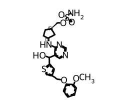 COc1ccccc1OCc1csc(C(O)c2cncnc2N[C@H]2CC[C@@H](COS(N)(=O)=O)C2)c1